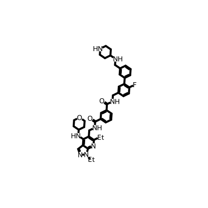 CCc1nc2c(cnn2CC)c(NC2CCOCC2)c1CNC(=O)c1cccc(C(=O)NCc2ccc(F)c(-c3cccc(CNC4CCNCC4)c3)c2)c1